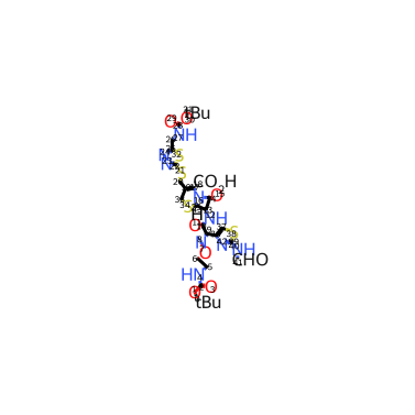 CC(C)(C)OC(=O)NCCO/N=C(/C(=O)NC1C(=O)N2C(C(=O)O)=C(CSc3nnc(CNC(=O)OC(C)(C)C)s3)CS[C@H]12)c1csc(NC=O)n1